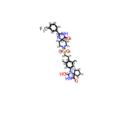 Cc1cc(N2C(O)NC(=O)C23CCCC3)cc(C)c1CCS(=O)(=O)N1CCC2(CC1)N=C(c1cccc(C(F)(F)F)c1)NC2=O